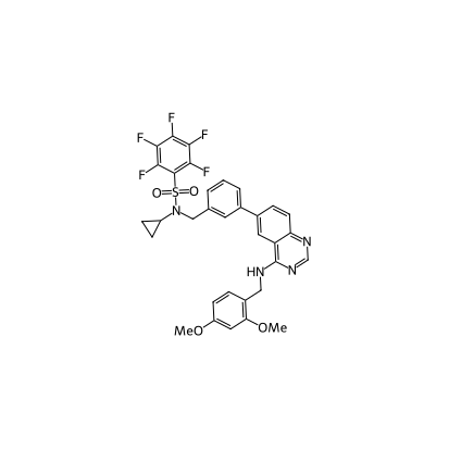 COc1ccc(CNc2ncnc3ccc(-c4cccc(CN(C5CC5)S(=O)(=O)c5c(F)c(F)c(F)c(F)c5F)c4)cc23)c(OC)c1